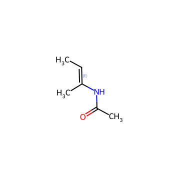 C/C=C(\C)NC(C)=O